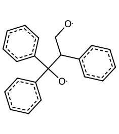 [O]CC(c1ccccc1)C([O])(c1ccccc1)c1ccccc1